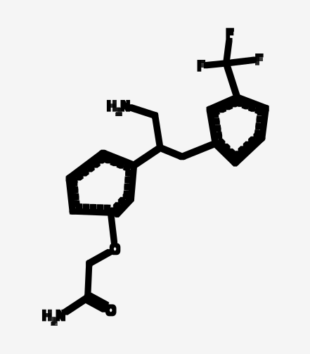 NCC(Cc1cccc(C(F)(F)F)c1)c1cccc(OCC(N)=O)c1